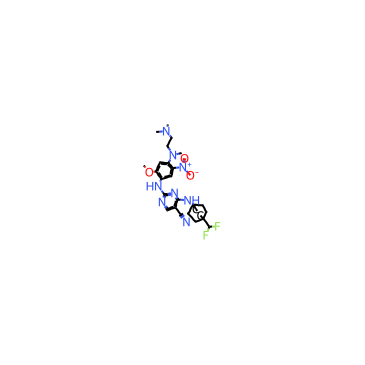 COc1cc(N(C)CCN(C)C)c([N+](=O)[O-])cc1Nc1ncc(C#N)c(NC23CCC(C(F)F)(CC2)CC3)n1